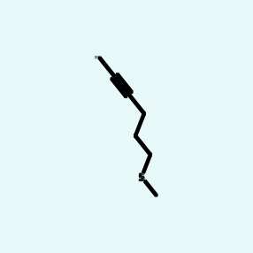 [CH2]C#CCCCSC